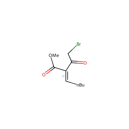 CCCC/C=C(\C(=O)CBr)C(=O)OC